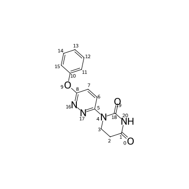 O=C1CCN(c2ccc(Oc3ccccc3)nn2)C(=O)N1